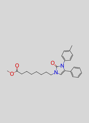 COC(=O)CCCCCCCn1cc(-c2ccccc2)n(-c2ccc(C)cc2)c1=O